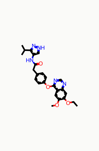 CCOc1cc2ncnc(Oc3ccc(CC(=O)Nc4c[nH]nc4C(C)C)cc3)c2cc1OC